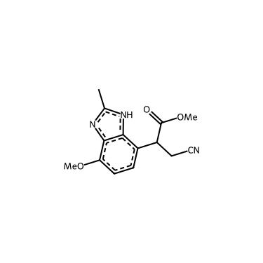 COC(=O)C(CC#N)c1ccc(OC)c2nc(C)[nH]c12